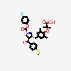 CSc1ccc(C(=O)[C@H]2CN(C(=O)Oc3ccc(F)cc3)C[C@@H]2Cc2cc(C)c(OC(C)(C)C(=O)O)c(C)c2)cc1